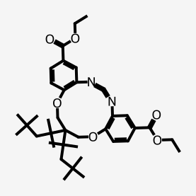 CCOC(=O)c1ccc2c(c1)N=C=Nc1cc(C(=O)OCC)ccc1OCC(C(C)(C)CC(C)(C)C)(C(C)(C)CC(C)(C)C)CO2